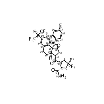 NC(=O)[C@H]1CC(F)(F)CN1C(=O)[C@@H]1CC[C@@]2(S(=O)(=O)c3ccc(F)cc3)c3ccc(C(F)(C(F)(F)F)C(F)(F)F)cc3CC[C@@H]12